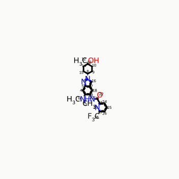 CN(C)c1cc2nn([C@H]3CC[C@@](C)(O)CC3)cc2cc1NC(=O)c1cccc(C(F)(F)F)n1